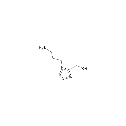 NCCCn1ccnc1CO